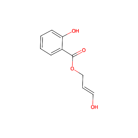 O=C(OCC=CO)c1ccccc1O